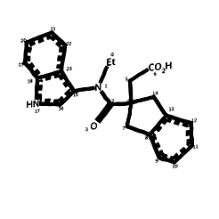 CCN(C(=O)C1(CC(=O)O)Cc2ccccc2C1)c1c[nH]c2ccccc12